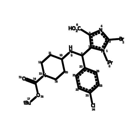 CC(C)n1c(Br)nc(C(=O)O)c1C(NC1CCN(C(=O)OC(C)(C)C)CC1)c1ccc(Cl)cc1